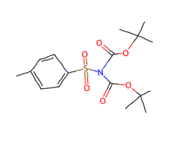 Cc1ccc(S(=O)(=O)N(C(=O)OC(C)(C)C)C(=O)OC(C)(C)C)cc1